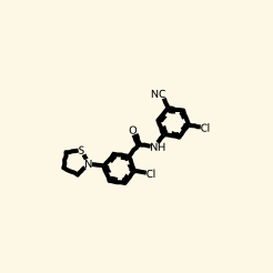 N#Cc1cc(Cl)cc(NC(=O)c2cc(N3CCCS3)ccc2Cl)c1